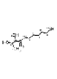 CC(O)C(O)[SiH2]OCCCCCS